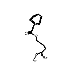 CCC(CCOC(=O)c1ccccc1)OC(C)C